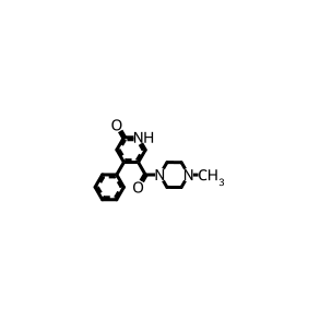 CN1CCN(C(=O)c2c[nH]c(=O)cc2-c2ccccc2)CC1